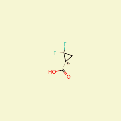 O=C(O)[C@H]1CC1(F)F